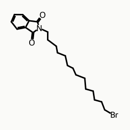 O=C1c2ccccc2C(=O)N1CCCCCCCCCCCCCCBr